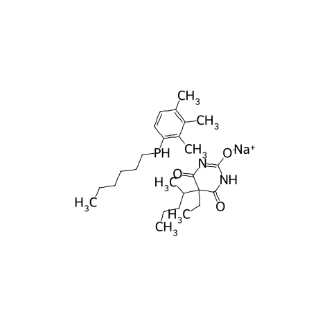 CCCC(C)C1(CC)C(=O)N=C([O-])NC1=O.CCCCCCPc1ccc(C)c(C)c1C.[Na+]